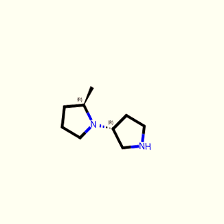 C[C@@H]1CCCN1[C@@H]1CCNC1